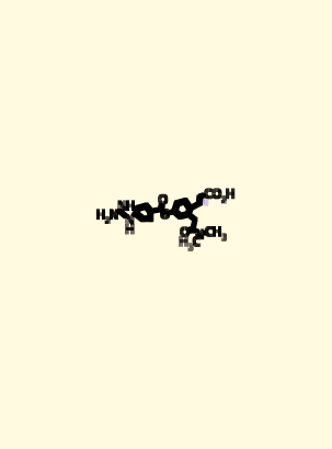 CN(C)C(=O)Cc1cc(OC(=O)c2ccc(NC(=N)N)cc2)ccc1/C=C/C(=O)O